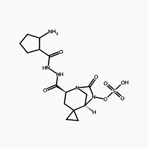 NC1CCCC1C(=O)NNC(=O)[C@@H]1CC2(CC2)[C@H]2CN1C(=O)N2OS(=O)(=O)O